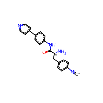 [C-]#[N+]c1ccc(C[C@@H](N)C(=O)Nc2ccc(-c3ccncc3)cc2)cc1